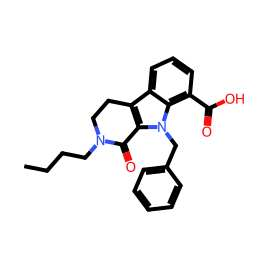 CCCCN1CCc2c(n(Cc3ccccc3)c3c(C(=O)O)cccc23)C1=O